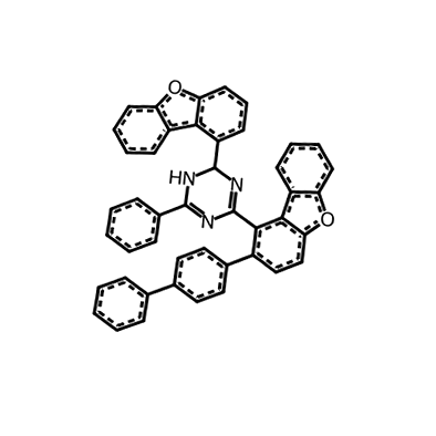 c1ccc(C2=NC(c3c(-c4ccc(-c5ccccc5)cc4)ccc4oc5ccccc5c34)=NC(c3cccc4oc5ccccc5c34)N2)cc1